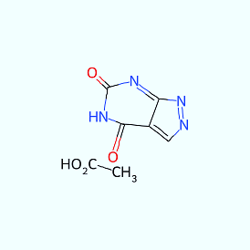 CC(=O)O.O=C1N=C2N=NC=C2C(=O)N1